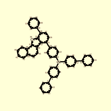 c1ccc(-c2ccc(N(c3ccc(-c4ccccc4)cc3)c3ccc(-c4ccc(-c5ccccc5)c5oc6c7ccccc7ccc6c45)cc3)cc2)cc1